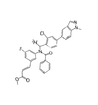 [2H]C(c1ccc(-c2ccc3c(cnn3C)c2)cc1Cl)N(C(=O)c1ccccc1)c1cc(F)cc(/C=C/C(=O)OC)c1